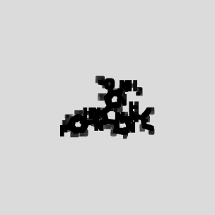 CCC(C)Nc1nccc(-c2nc(-c3ccc(F)cc3)[nH]c2-c2cnc(N)c(OC)c2)n1